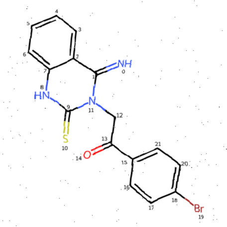 N=c1c2ccccc2[nH]c(=S)n1CC(=O)c1ccc(Br)cc1